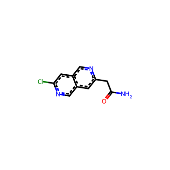 NC(=O)Cc1cc2cnc(Cl)cc2cn1